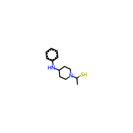 CC(S)N1CCC(Nc2ccccc2)CC1